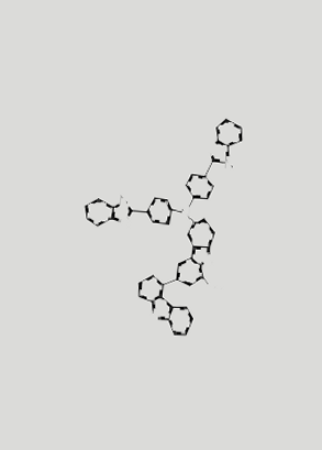 Brc1cc(-c2cccc3oc4ccccc4c23)cc2c1sc1ccc(N(c3ccc(-c4nc5ccccc5o4)cc3)c3ccc(-c4nc5ccccc5o4)cc3)cc12